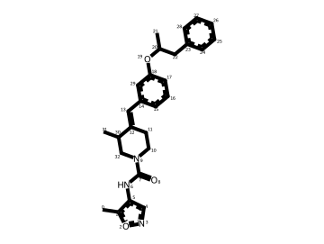 Cc1oncc1NC(=O)N1CCC(=Cc2cccc(OC(C)Cc3ccccc3)c2)C(C)C1